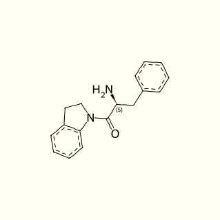 N[C@@H](Cc1ccccc1)C(=O)N1CCc2ccccc21